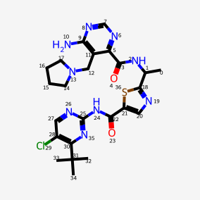 CC(NC(=O)c1ncnc(N)c1CN1CCCC1)c1ncc(C(=O)Nc2ncc(Cl)c(C(C)(C)C)n2)s1